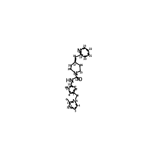 Cc1nccn1Cc1cnc(NC(=O)N2CCC(=Cc3ccccn3)CC2)s1